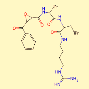 CC(C)CC(NC(=O)C(NC(=O)C1OC1C(=O)c1ccccc1)C(C)C)C(=O)NCCCCNC(=N)N